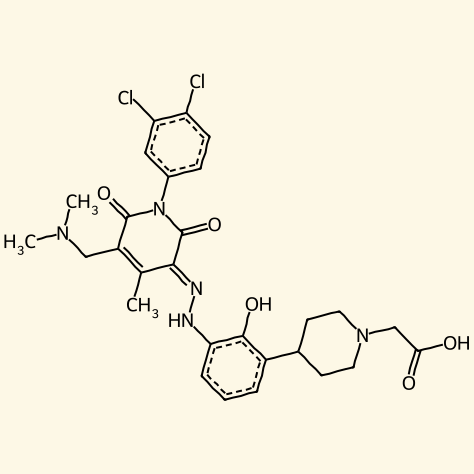 CC1=C(CN(C)C)C(=O)N(c2ccc(Cl)c(Cl)c2)C(=O)/C1=N/Nc1cccc(C2CCN(CC(=O)O)CC2)c1O